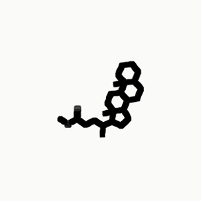 COC(=O)CCC(C)C1CCC2C3CCC4CCCCC4(C)C3CCC12C